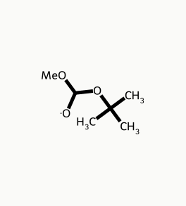 COC([O])OC(C)(C)C